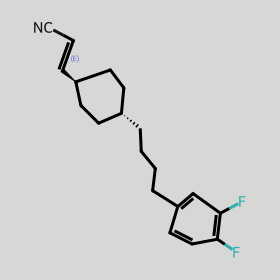 N#C/C=C/[C@H]1CC[C@H](CCCCc2ccc(F)c(F)c2)CC1